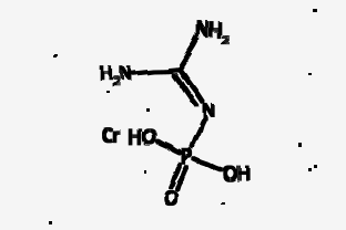 NC(N)=NP(=O)(O)O.[Cr]